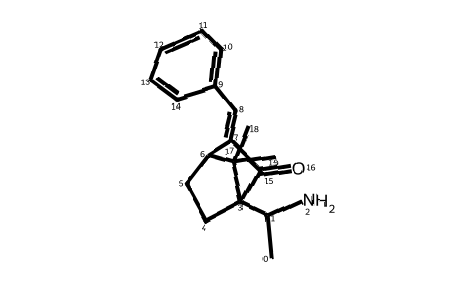 CC(N)C12CCC(C(=Cc3ccccc3)C1=O)C2(C)C